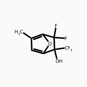 Cc1cc2oc1C(F)(F)C2(O)C(F)(F)F